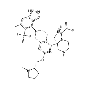 C=C(F)C(=O)N1CCNC[C@@]1(CC#N)c1nc(OC[C@@H]2CCCN2C)nc2c1CCN(c1c(C(F)(F)F)c(C)cc3[nH]ncc13)C2